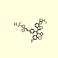 CCOC(=O)C=Cc1ccc(/C(=C(\c2ccc(F)cc2Cl)C2CCC2)c2coc3c(OC)cccc23)cc1